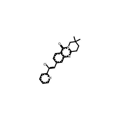 CC1(C)CCc2nc3cc(C=C(Cl)c4ccccn4)ccc3c(=O)n2C1